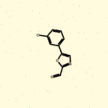 O=Cc1ncc(-c2cccc(Cl)c2)o1